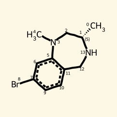 C[C@H]1CN(C)c2cc(Br)ccc2CN1